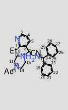 CCc1ncccc1C(C#N)N1CCN(C(C)=O)CC1.NC(c1ccccc1)c1ccccc1